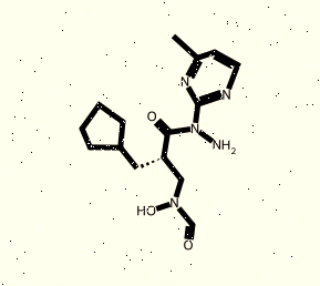 Cc1ccnc(N(N)C(=O)[C@@H](CC2CCCC2)CN(O)C=O)n1